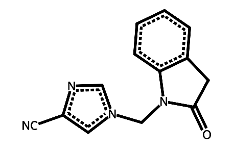 N#Cc1cn(CN2C(=O)Cc3ccccc32)cn1